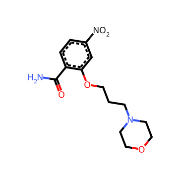 NC(=O)c1ccc([N+](=O)[O-])cc1OCCCN1CCOCC1